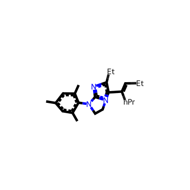 CCC=C(CCC)c1c(CC)nc2n1CCN2c1c(C)cc(C)cc1C